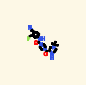 CC(C)(C)N1CCN[C@@H](C(=O)N2CCN(C(=O)Nc3ccc(C#N)c(CF)c3)CC2)C1